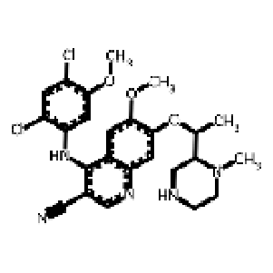 COc1cc(Nc2c(C#N)cnc3cc(OC(C)C4CNCCN4C)c(OC)cc23)c(Cl)cc1Cl